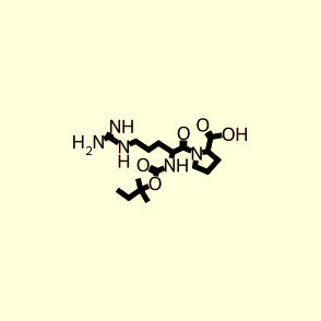 CCC(C)(C)OC(=O)NC(CCCNC(=N)N)C(=O)N1CCCC1C(=O)O